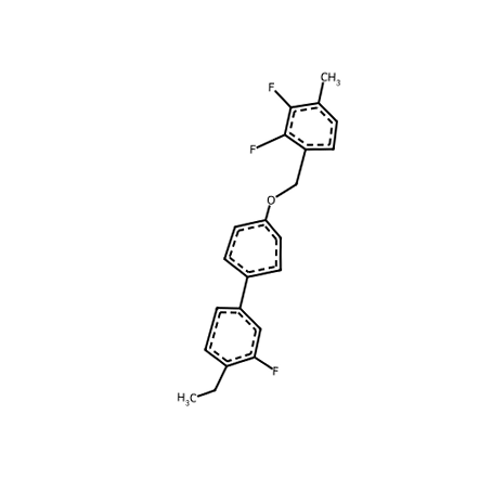 CCc1ccc(-c2ccc(OCc3ccc(C)c(F)c3F)cc2)cc1F